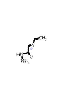 C=C/N=C/C(=O)NN